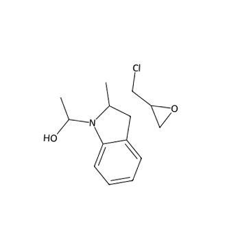 CC(O)N1c2ccccc2CC1C.ClCC1CO1